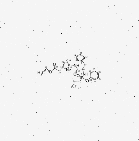 CCCP(=O)(NC(Cc1cccs1)C(=O)Nc1nc(CC(=O)OCC)cs1)Oc1ccccc1